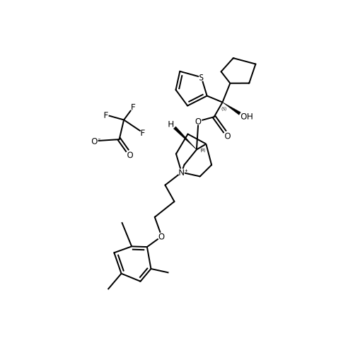 Cc1cc(C)c(OCCC[N+]23CCC(CC2)[C@@H](OC(=O)[C@](O)(c2cccs2)C2CCCC2)C3)c(C)c1.O=C([O-])C(F)(F)F